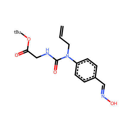 C=CCN(C(=O)NCC(=O)OC(C)(C)C)c1ccc(C=NO)cc1